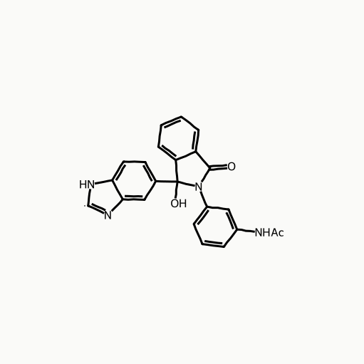 CC(=O)Nc1cccc(N2C(=O)c3ccccc3C2(O)c2ccc3[nH][c]nc3c2)c1